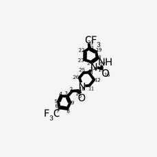 O=C(Cc1ccc(C(F)(F)F)cc1)N1CCC(n2c(=O)[nH]c3cc(C(F)(F)F)ccc32)CC1